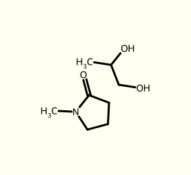 CC(O)CO.CN1CCCC1=O